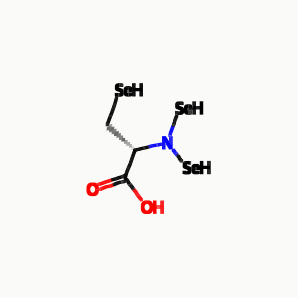 O=C(O)[C@H](C[SeH])N([SeH])[SeH]